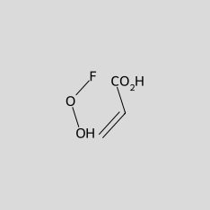 C=CC(=O)O.OOF